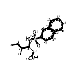 CC[C@H](C)[C@@H](CO)NS(=O)(=O)c1ccc2ccccc2c1